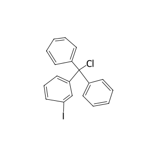 ClC(c1ccccc1)(c1ccccc1)c1cccc(I)c1